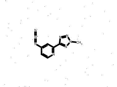 Cn1nnc(-c2cc(N=[N+]=[N-])ccn2)n1